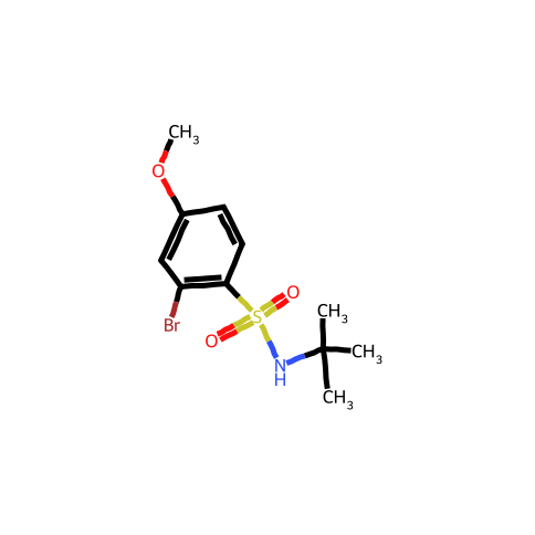 COc1ccc(S(=O)(=O)NC(C)(C)C)c(Br)c1